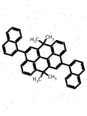 CC1(C)c2cc(-c3cccc4ccccc34)c3cccc4c3c2-c2c(cc(-c3cccc5ccccc35)c3cccc1c23)C4(C)C